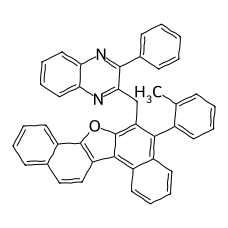 Cc1ccccc1-c1c(Cc2nc3ccccc3nc2-c2ccccc2)c2oc3c4ccccc4ccc3c2c2ccccc12